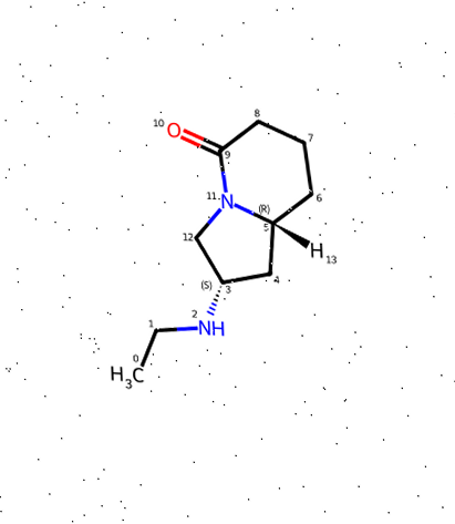 CCN[C@H]1C[C@H]2CCCC(=O)N2C1